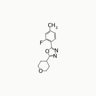 Cc1ccc(-c2nnc(C3CCOCC3)o2)c(F)c1